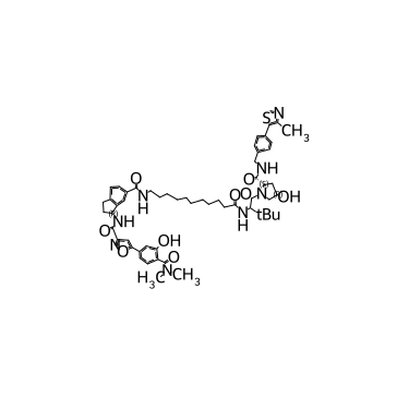 Cc1ncsc1-c1ccc(CNC(=O)[C@@H]2C[C@@H](O)CN2C(=O)C(NC(=O)CCCCCCCCCCNC(=O)c2ccc3c(c2)[C@H](NC(=O)c2cc(-c4ccc(C(=O)N(C)C)c(O)c4)on2)CC3)C(C)(C)C)cc1